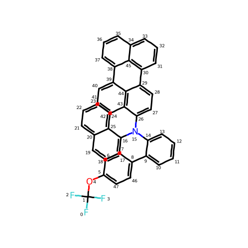 FC(F)(F)Oc1ccc(-c2ccccc2N(c2cccc3ccccc23)c2ccc3c4cccc5cccc(c6cccc2c63)c54)cc1